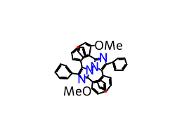 COc1ccccc1-c1nc(-c2ccccc2)c(-c2ccccc2)n1-n1c(-c2ccccc2OC)nc(-c2ccccc2)c1-c1ccccc1